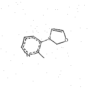 Cc1ncccc1N1C=COC1